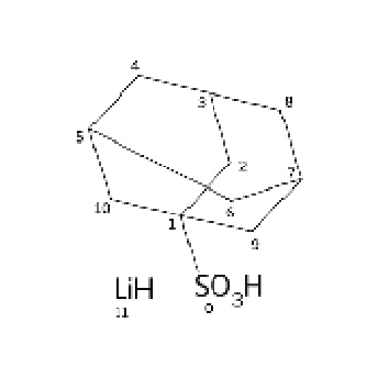 O=S(=O)(O)C12CC3CC(CC(C3)C1)C2.[LiH]